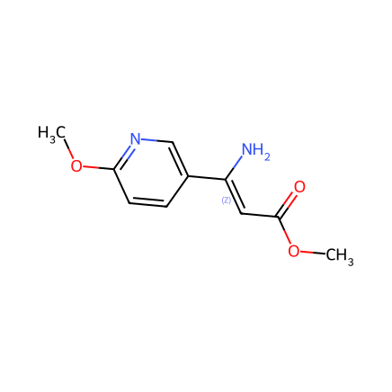 COC(=O)/C=C(\N)c1ccc(OC)nc1